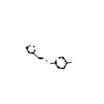 O=[N+]([O-])c1ccc(N/N=C/c2cc[nH]n2)nc1